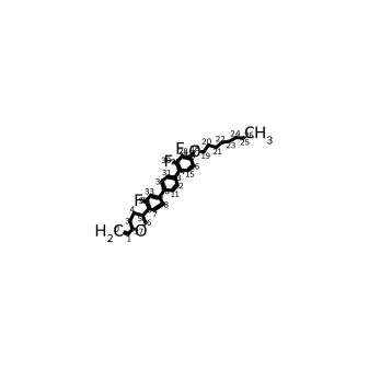 C=CC1CCC(c2ccc(-c3ccc(-c4ccc(OCCCCCCCC)c(F)c4F)cc3)cc2F)CO1